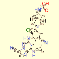 N#Cc1cc(Nc2nc(NC3CC3)c3ncc(C#N)n3n2)c(Cl)c(N2C[C@H]3C[C@@H](NC(=O)O)C[C@H]3C2)c1